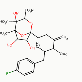 C=C(CCC12OC(C(=O)O)C(O)(C(=O)O)C(C(=O)O)(O1)C(O)C2O)C(OC(C)=O)C(C)Cc1ccc(F)cc1